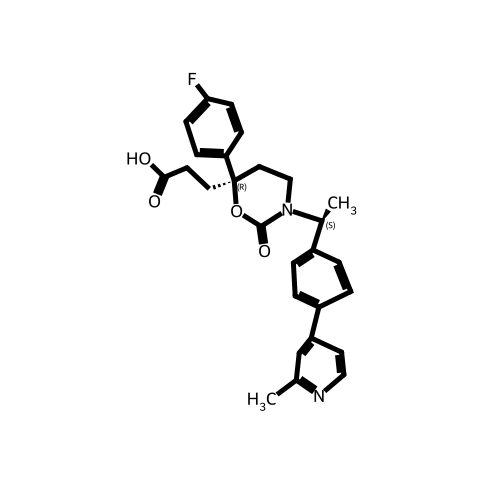 Cc1cc(-c2ccc([C@H](C)N3CC[C@](CCC(=O)O)(c4ccc(F)cc4)OC3=O)cc2)ccn1